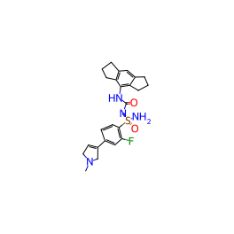 CN1CC=C(c2ccc(S(N)(=O)=NC(=O)Nc3c4c(cc5c3CCC5)CCC4)c(F)c2)C1